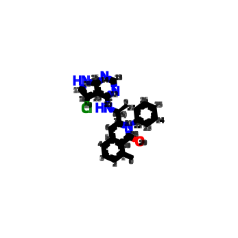 Cc1cccc2cc([C@H](C)Nc3ncnc4[nH]cc(Cl)c34)n(-c3ccccc3)c(=O)c12